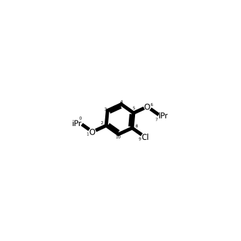 CC(C)Oc1ccc(OC(C)C)c(Cl)c1